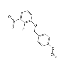 COc1ccc(COc2cccc([N+](=O)[O-])c2F)cc1